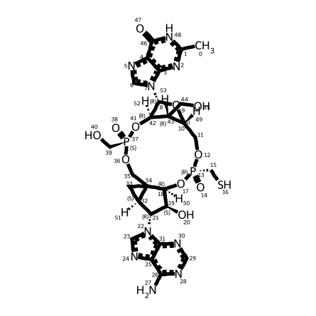 Cc1nc2c(ncn2[C@@H]2O[C@@H]3CO[P@](=O)(CS)O[C@H]4[C@@H](O)[C@H](n5cnc6c(N)ncnc65)[C@H]5CC54CO[P@@](=O)(CO)O[C@@H]2[C@@H]3CO)c(=O)[nH]1